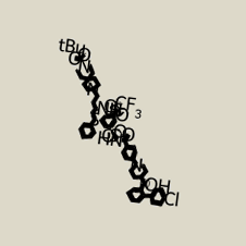 CC(C)(C)OC(=O)N1CCC2(CCN(CCC(CSc3ccccc3)Nc3ccc(S(=O)(=O)NC(=O)c4ccc(N5CCC([C@@H](O)c6ccccc6-c6ccc(Cl)cc6)CC5)cc4)cc3S(=O)(=O)C(F)(F)F)CC2)CC1